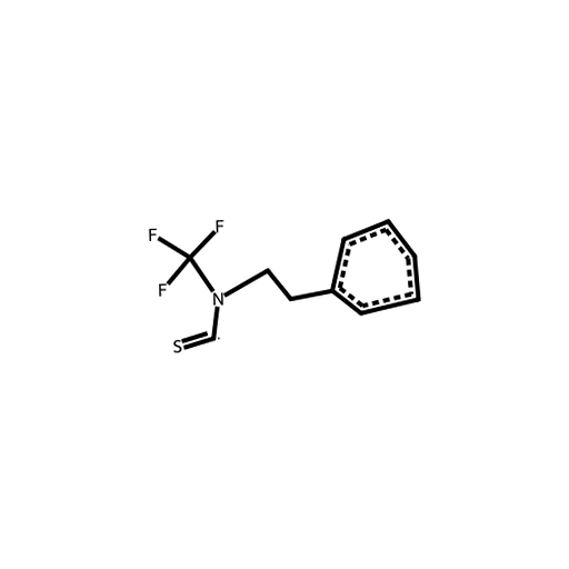 FC(F)(F)N([C]=S)CCc1ccccc1